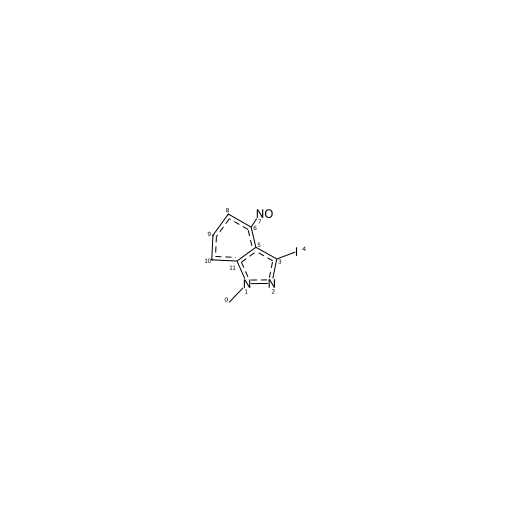 Cn1nc(I)c2c(N=O)cccc21